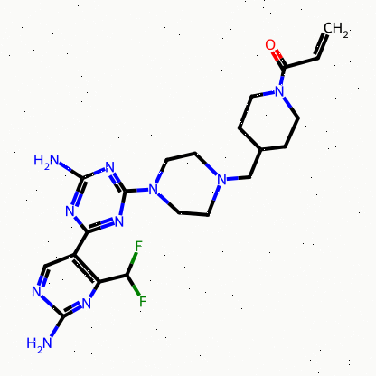 C=CC(=O)N1CCC(CN2CCN(c3nc(N)nc(-c4cnc(N)nc4C(F)F)n3)CC2)CC1